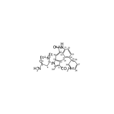 CCN(CC)C(CC(N)=O)n1c(C)c(C(=O)O)c(C)c1C=C1C(=O)Nc2ccc(-c3ccccc3)cc21